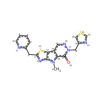 Cn1c2nc(Cc3ccccn3)sc2c2cnn(Cc3cscn3)c(=O)c21